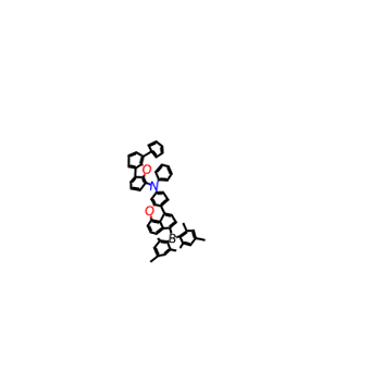 Cc1cc(C)c(B(c2c(C)cc(C)cc2C)c2ccc3c4c(cccc24)Oc2cc(N(c4ccccc4)c4cccc5c4oc4c(-c6ccccc6)cccc45)ccc2-3)c(C)c1